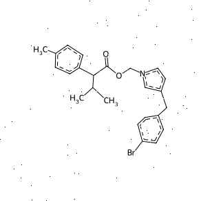 Cc1ccc(C(C(=O)OCn2ccc(Cc3ccc(Br)cc3)c2)C(C)C)cc1